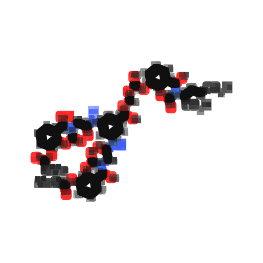 COC(=O)Oc1cccc2c1OC(=O)N(CC(=O)Nc1cc(NC(=O)Cn3c(=O)oc4c(OC(=O)OC)cccc4c3=O)cc(C(=O)OCOC(=O)Oc3cccc4c(=O)n(C(CCC(=O)O)C(=O)O)c(=O)oc34)c1)C2O